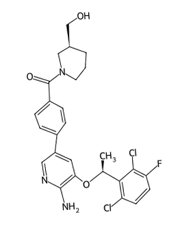 C[C@H](Oc1cc(-c2ccc(C(=O)N3CCC[C@H](CO)C3)cc2)cnc1N)c1c(Cl)ccc(F)c1Cl